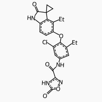 CCc1cc(NC(=O)c2noc(=O)[nH]2)cc(Cl)c1Oc1ccc2c(c1CC)C1(CC1)C(=O)N2